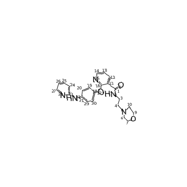 O=C(NCCN1CCOCC1)c1cccnc1Oc1ccc(Nc2ccccn2)cc1